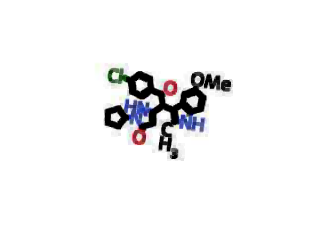 COc1ccc2[nH]c(C)c(C(C(=O)c3ccc(Cl)cc3)c3cc(=O)n(C4CCCC4)[nH]3)c2c1